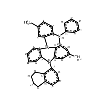 Cc1ccc2c(c1)B1c3ccccc3N(c3cccc4c3CCCC4)c3cc(C)cc(c31)N2c1ccccc1